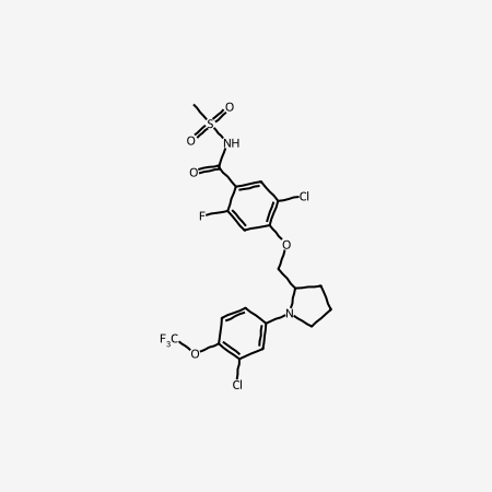 CS(=O)(=O)NC(=O)c1cc(Cl)c(OCC2CCCN2c2ccc(OC(F)(F)F)c(Cl)c2)cc1F